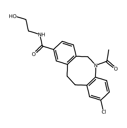 CC(=O)N1Cc2ccc(C(=O)NCCO)cc2CCc2cc(Cl)ccc21